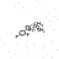 CC(C)(Cc1ccc(-c2ccc(F)cc2F)cc1)O[SiH3]